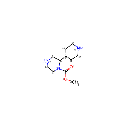 COC(=O)N1[CH]CNCC1C1CCNCC1